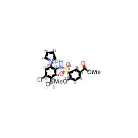 COC(=O)c1ccc(OC)c(S(=O)(=O)Nc2cc(C(F)(F)F)c(Cl)cc2-n2cccc2)c1